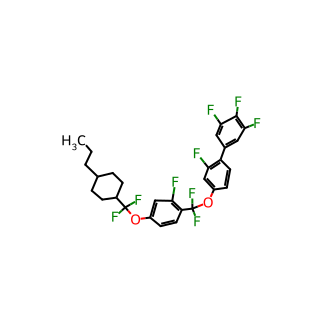 CCCC1CCC(C(F)(F)Oc2ccc(C(F)(F)Oc3ccc(-c4cc(F)c(F)c(F)c4)c(F)c3)c(F)c2)CC1